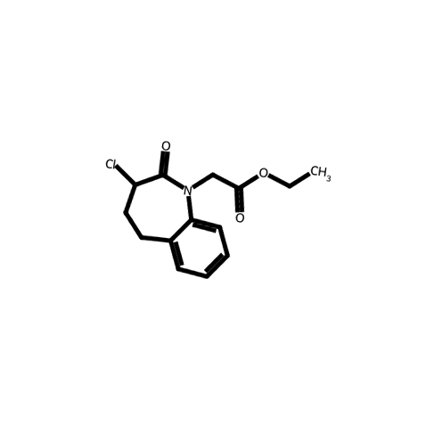 CCOC(=O)CN1C(=O)C(Cl)CCc2ccccc21